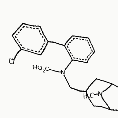 CN1C2CCC1CC(CN(C(=O)O)c1ccccc1-c1cccc(Cl)c1)C2